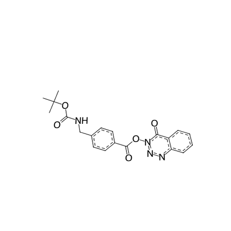 CC(C)(C)OC(=O)NCc1ccc(C(=O)On2nnc3ccccc3c2=O)cc1